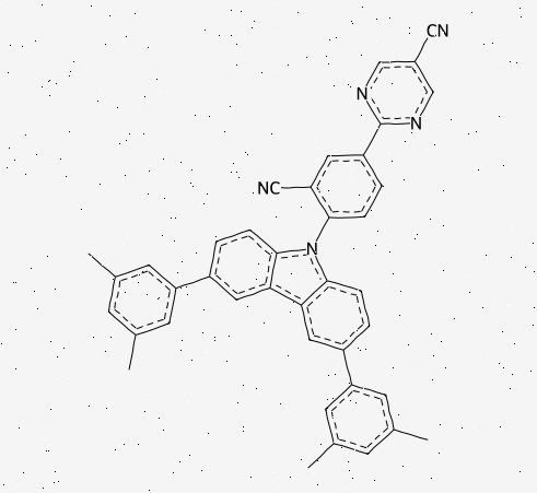 Cc1cc(C)cc(-c2ccc3c(c2)c2cc(-c4cc(C)cc(C)c4)ccc2n3-c2ccc(-c3ncc(C#N)cn3)cc2C#N)c1